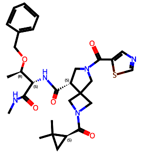 CNC(=O)[C@@H](NC(=O)[C@@H]1CN(C(=O)c2cncs2)CC12CN(C(=O)[C@H]1CC1(C)C)C2)[C@@H](C)OCc1ccccc1